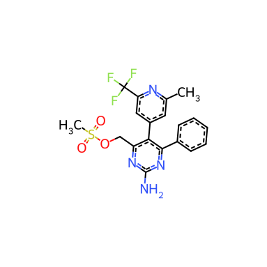 Cc1cc(-c2c(COS(C)(=O)=O)nc(N)nc2-c2ccccc2)cc(C(F)(F)F)n1